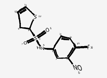 O=Nc1cc(NS(=O)(=O)C2CC=CS2)ccc1F